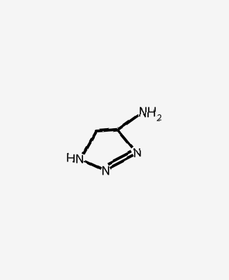 NC1CNN=N1